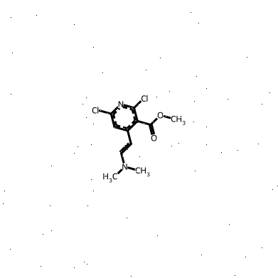 COC(=O)c1c(/C=C/N(C)C)cc(Cl)nc1Cl